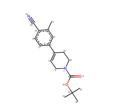 Cc1cc(C2=CCN(C(=O)OC(C)(C)C)CC2)ccc1C#N